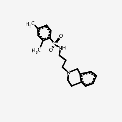 Cc1ccc(S(=O)(=O)NCCCN2CCc3ccccc3C2)c(C)c1